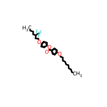 CCCCCCCCCCOc1ccc(C(=O)Oc2ccc(OCCC(CCCC)C(F)(F)F)cc2)cc1